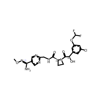 CO/N=C(\N)c1cnc(CNC(=O)[C@@H]2CCN2C(=O)[C@H](O)c2cc(Cl)cc(OC(F)F)c2)nc1